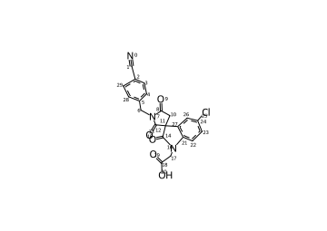 N#Cc1ccc(CN2C(=O)CC3(C2=O)C(=O)N(CC(=O)O)c2ccc(Cl)cc23)cc1